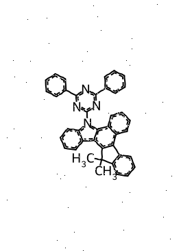 CC1(C)c2ccccc2-c2c1c1c3ccccc3n(-c3nc(-c4ccccc4)nc(-c4ccccc4)n3)c1c1ccccc21